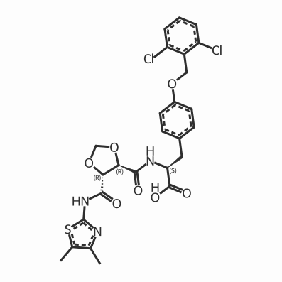 Cc1nc(NC(=O)[C@@H]2OCO[C@H]2C(=O)N[C@@H](Cc2ccc(OCc3c(Cl)cccc3Cl)cc2)C(=O)O)sc1C